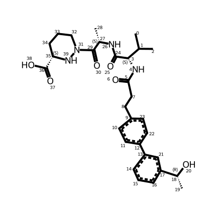 CC(C)[C@H](NC(=O)CCc1ccc(-c2cccc([C@@H](C)O)c2)cc1)C(=O)N[C@@H](C)C(=O)N1CCC[C@@H](C(=O)O)N1